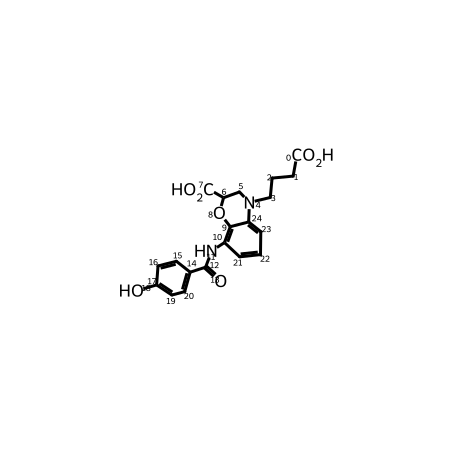 O=C(O)CCCN1CC(C(=O)O)Oc2c(NC(=O)c3ccc(O)cc3)cccc21